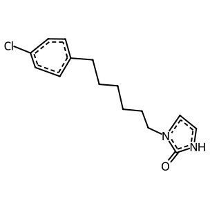 O=c1[nH]ccn1CCCCCCc1ccc(Cl)cc1